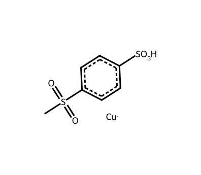 CS(=O)(=O)c1ccc(S(=O)(=O)O)cc1.[Cu]